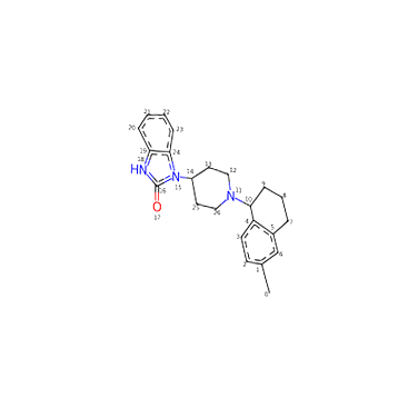 Cc1ccc2c(c1)CCCC2N1CCC(n2c(=O)[nH]c3ccccc32)CC1